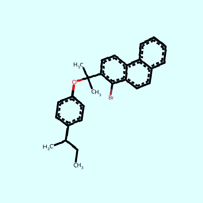 CCC(C)c1ccc(OC(C)(C)c2ccc3c(ccc4ccccc43)c2Br)cc1